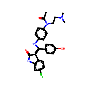 CC(=O)N(CCN(C)C)c1ccc(N/C(=C2\C(=O)Nc3cc(Cl)ccc32)c2ccc(O)cc2)cc1